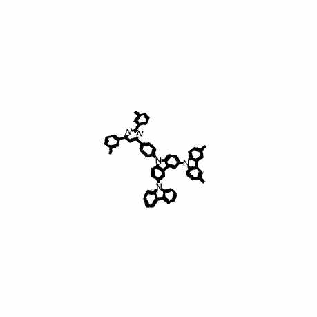 Cc1cccc(-c2cc(-c3ccc(-n4c5ccc(-n6c7ccccc7c7ccccc76)cc5c5cc(-n6c7ccc(C)cc7c7cc(C)ccc76)ccc54)cc3)nc(-c3cccc(C)c3)n2)c1